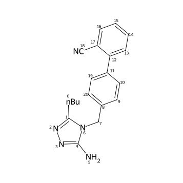 CCCCc1nnc(N)n1Cc1ccc(-c2ccccc2C#N)cc1